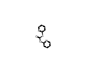 O=C(Oc1ccccn1)Sc1ccccn1